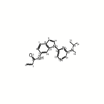 C=CC(=O)Nc1ccc2ccn(-c3cncc(N(C)C(C)C)n3)c2c1